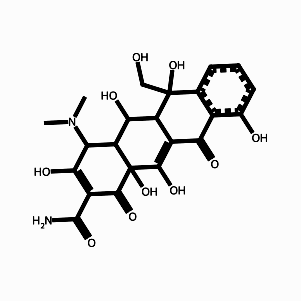 CN(C)C1C(O)=C(C(N)=O)C(=O)C2(O)C(O)=C3C(=O)c4c(O)cccc4C(O)(CO)C3C(O)C12